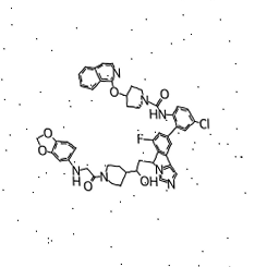 O=C(CNc1ccc2c(c1)OCO2)N1CCC(C(O)CC2c3c(F)cc(-c4cc(Cl)ccc4NC(=O)N4CCC(Oc5nccc6ccccc56)CC4)cc3-c3cncn32)CC1